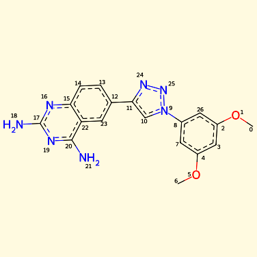 COc1cc(OC)cc(-n2cc(-c3ccc4nc(N)nc(N)c4c3)nn2)c1